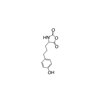 O=C1NC(CCCc2ccc(O)cc2)C(=O)O1